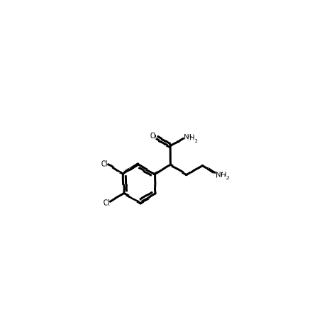 NCCC(C(N)=O)c1ccc(Cl)c(Cl)c1